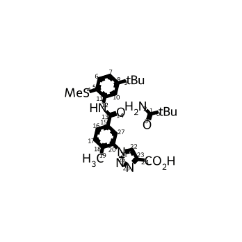 CC(C)(C)C(N)=O.CSc1ccc(C(C)(C)C)cc1NC(=O)c1ccc(C)c(-n2cc(C(=O)O)nn2)c1